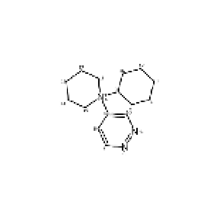 [CH]1CCC([N+]2(c3ccnnc3)CCCCC2)CC1